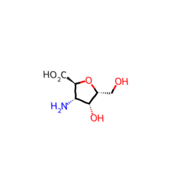 N[C@H]1[C@@H](O)[C@@H](CO)O[C@@H]1C(=O)O